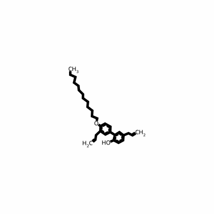 C=CCc1ccc(O)c(-c2ccc(OCCCCCCCCCCCCC)c(CC=C)c2)c1